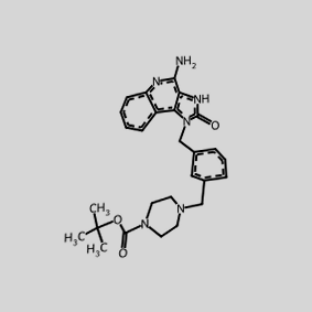 CC(C)(C)OC(=O)N1CCN(Cc2cccc(Cn3c(=O)[nH]c4c(N)nc5ccccc5c43)c2)CC1